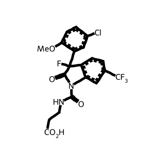 COc1ccc(Cl)cc1C1(F)C(=O)N(C(=O)NCCC(=O)O)c2cc(C(F)(F)F)ccc21